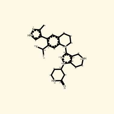 Cc1n[nH]cc1-c1cc2c(cc1C(F)F)N(c1nn(C3CCNC(=O)C3)c3c1CNCC3)CCC2